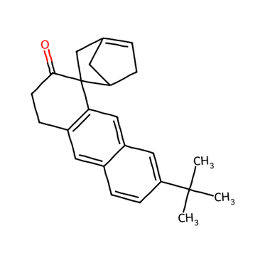 CC(C)(C)c1ccc2cc3c(cc2c1)C1(CC2=CCC1C2)C(=O)CC3